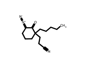 CCCCCC1(CCC#N)CCCC(=[N+]=[N-])C1=O